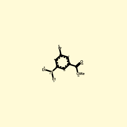 CCN(CC)c1cc(Br)cc(C(=O)OC)c1